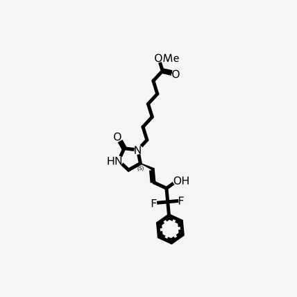 COC(=O)CCCCCCN1C(=O)NC[C@@H]1C=CC(O)C(F)(F)c1ccccc1